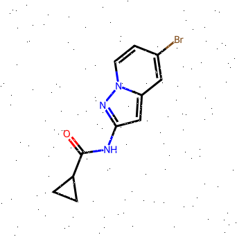 O=C(Nc1cc2cc(Br)ccn2n1)C1CC1